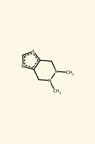 CN1Cc2n[c]sc2CN1C